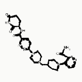 NC(=O)c1nnccc1N1CCC(CN2CCN(c3ccc(C(=O)NC4CCC(=O)NC4=O)nn3)CC2)CC1